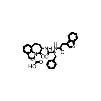 O=C(Cc1csc2ccccc12)N[C@@H](Cc1ccccc1)C(=O)N[C@H]1CCc2cccc3c2N(C1=O)[C@H](C(=O)O)C3